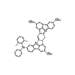 Cc1cccc(C)c1N(c1ccccc1)c1ccc2c3cc(C(C)(C)C)cc4c3n(c2c1)C1=Cc2c(n3c5ccc(C(C)(C)C)cc5c5cc(C(C)(C)C)cc2c53)CC14